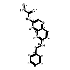 CCNC(=O)Nc1cnc2ccc(NCc3ccccc3)nc2n1